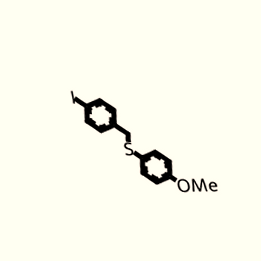 COc1ccc(SCc2ccc(I)cc2)cc1